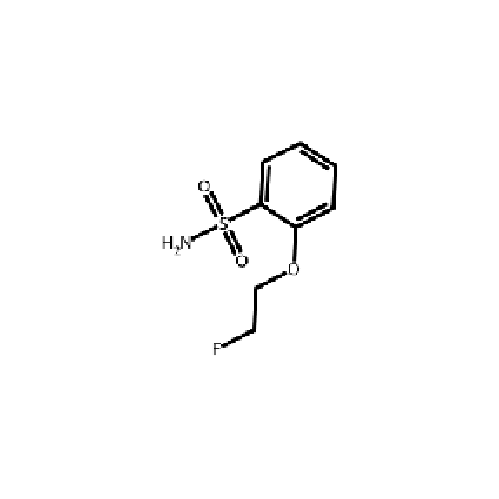 NS(=O)(=O)c1ccccc1OCCF